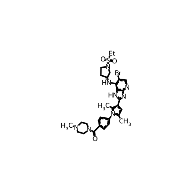 CCS(=O)(=O)N1CC[C@H](Nc2c(Br)cnc3nc(-c4cc(C)n(-c5ccc(C(=O)N6CCN(C)CC6)cc5)c4C)[nH]c23)C1